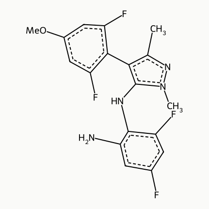 COc1cc(F)c(-c2c(C)nn(C)c2Nc2c(N)cc(F)cc2F)c(F)c1